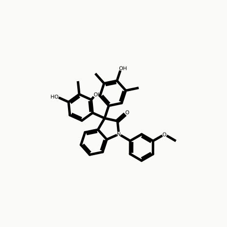 COc1cccc(N2C(=O)C(c3cc(C)c(O)c(C)c3)(c3ccc(O)c(C)c3O)c3ccccc32)c1